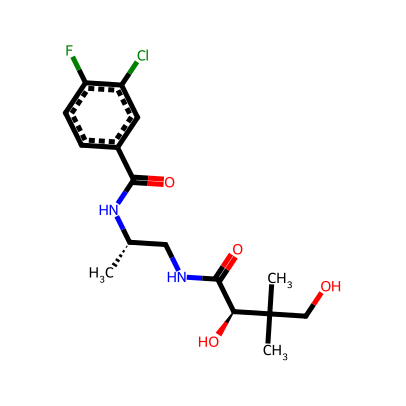 C[C@@H](CNC(=O)[C@H](O)C(C)(C)CO)NC(=O)c1ccc(F)c(Cl)c1